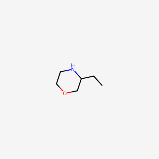 C[CH]C1COCCN1